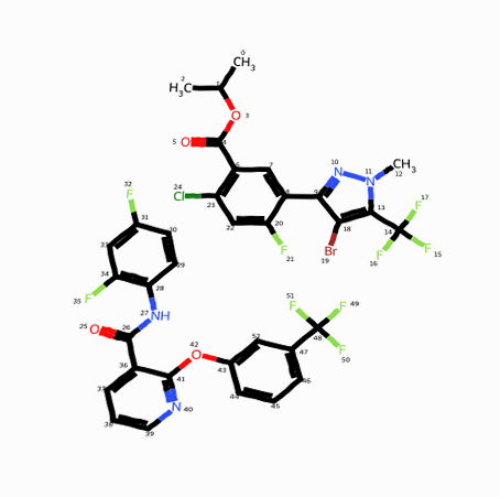 CC(C)OC(=O)c1cc(-c2nn(C)c(C(F)(F)F)c2Br)c(F)cc1Cl.O=C(Nc1ccc(F)cc1F)c1cccnc1Oc1cccc(C(F)(F)F)c1